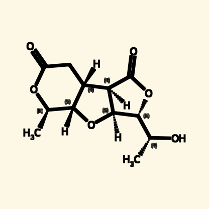 C[C@@H](O)[C@H]1OC(=O)[C@@H]2[C@H]3CC(=O)O[C@H](C)[C@H]3O[C@H]12